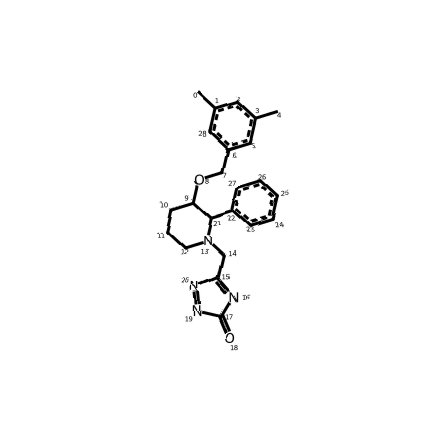 Cc1cc(C)cc(COC2CCCN(CC3=NC(=O)N=N3)C2c2ccccc2)c1